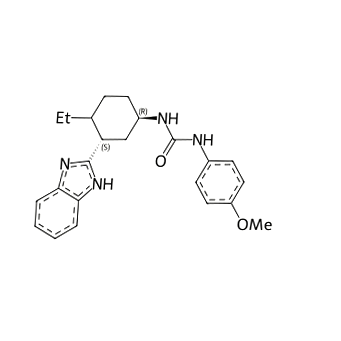 CCC1CC[C@@H](NC(=O)Nc2ccc(OC)cc2)C[C@@H]1c1nc2ccccc2[nH]1